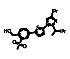 CC(C)c1cn(-c2ccc(-c3ccc(CO)c(S(C)(=O)=O)c3)s2)c(C(C)C(C)C)n1